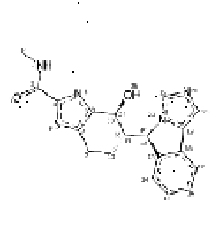 CNC(=O)c1nc2c(s1)CC[C@@H]([C@@H]1c3ccccc3-c3cncn31)[C@@H]2O